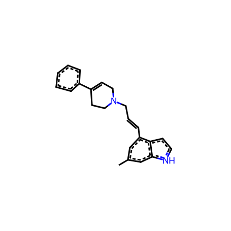 Cc1cc(C=CCN2CC=C(c3ccccc3)CC2)c2cc[nH]c2c1